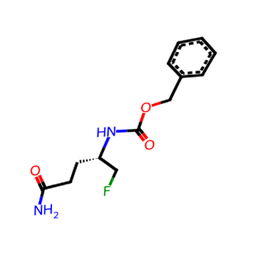 NC(=O)CC[C@@H](CF)NC(=O)OCc1ccccc1